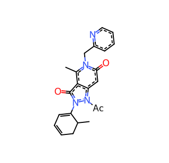 CC(=O)n1c2cc(=O)n(Cc3ccccn3)c(C)c2c(=O)n1C1=CC=CCC1C